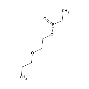 CCCOCCO[PH](=O)CC